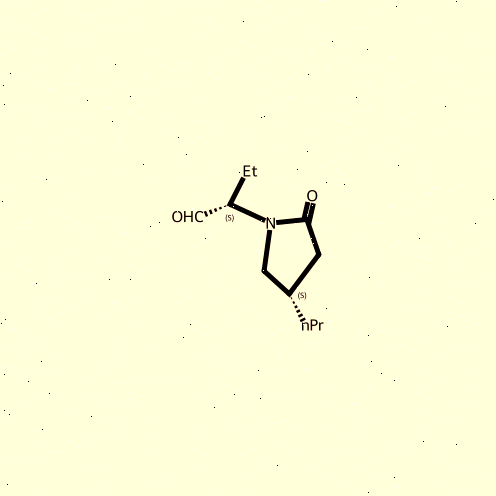 CCC[C@H]1CC(=O)N([C@H](C=O)CC)C1